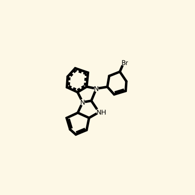 BrC1CC=CC(N2c3ccccc3N3C4C=CC=CC4NC23)C1